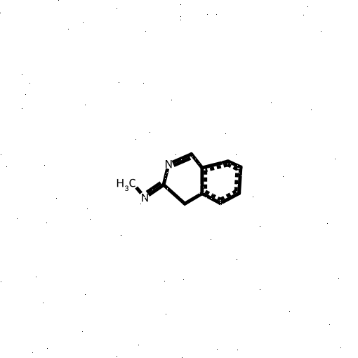 CN=C1Cc2ccccc2C=N1